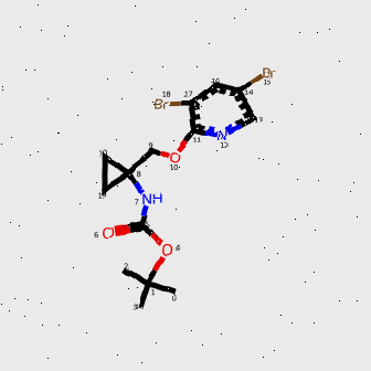 CC(C)(C)OC(=O)NC1(COc2ncc(Br)cc2Br)CC1